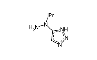 CC(C)N(N)c1cnn[nH]1